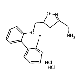 Cl.Cl.NCC1=NOC(COc2ccccc2-c2cccnc2F)C1